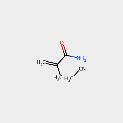 C=C(C)C(N)=O.CC#N